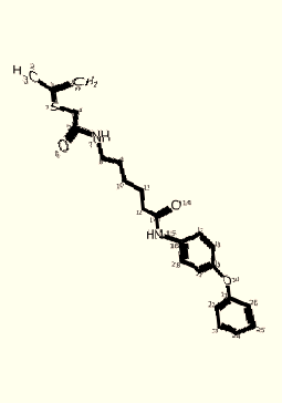 C=C(C)SCC(=O)NCCCCCC(=O)Nc1ccc(Oc2ccccc2)cc1